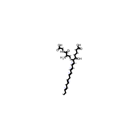 CC/C=C/C/C=C/C/C=C/C=C/C=C/C(SCC(N)C(=O)NCC(=O)O)C(O)CCCC(=O)O